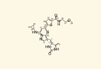 C=c1[nH]c(=O)[nH]/c1=C\c1cnn2c(NC3CC3)cc(-c3ccc(C(=O)NCCOC)s3)nc12